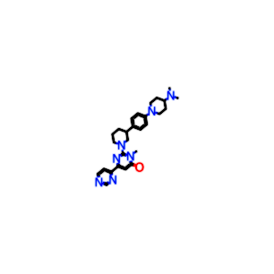 CN(C)C1CCN(c2ccc(C3CCCN(c4nc(-c5ccncn5)cc(=O)n4C)C3)cc2)CC1